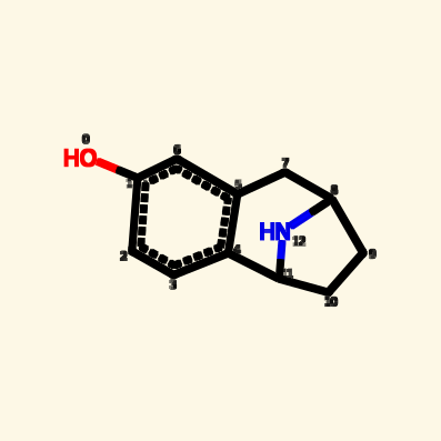 Oc1ccc2c(c1)CC1CCC2N1